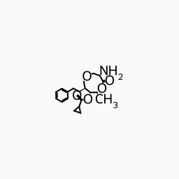 C[C@@H]1OC(=O)[C@@H](N)COC[C@H](CCc2ccccc2)[C@H]1OC(=O)C1CC1